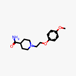 COc1ccc(OCCN2CCC(C(N)=O)CC2)cc1